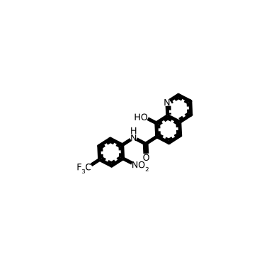 O=C(Nc1ccc(C(F)(F)F)cc1[N+](=O)[O-])c1ccc2cccnc2c1O